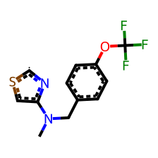 CN(Cc1ccc(OC(F)(F)F)cc1)c1cs[c]n1